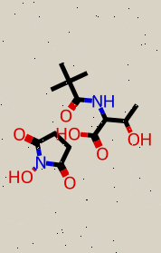 CC(O)C(NC(=O)C(C)(C)C)C(=O)O.O=C1CCC(=O)N1O